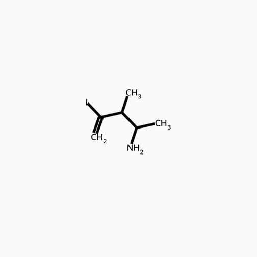 C=C(I)C(C)C(C)N